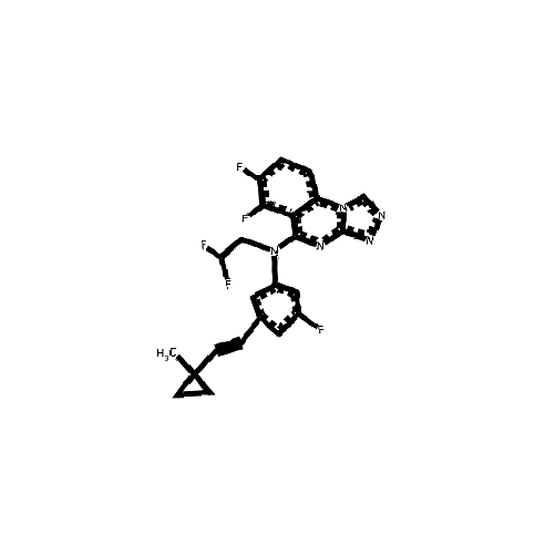 CC1(C#Cc2cc(F)cc(N(CC(F)F)c3nc4nncn4c4ccc(F)c(F)c34)c2)CC1